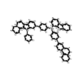 c1ccc(-n2c3cc(-c4ccc(N(c5ccc(-c6ccc7c(ccc8ccccc87)c6)cc5)c5cccc6c5sc5ccccc56)cc4)ccc3c3ccc4ccccc4c32)cc1